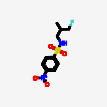 CC(CF)CNS(=O)(=O)c1ccc([N+](=O)[O-])cc1